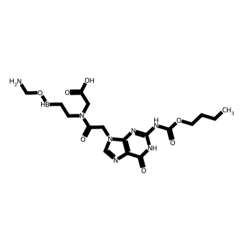 CCCCOC(=O)Nc1nc2c(ncn2CC(=O)N(CCBOCN)CC(=O)O)c(=O)[nH]1